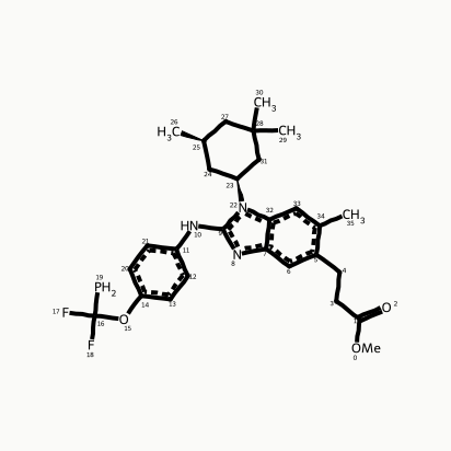 COC(=O)CCc1cc2nc(Nc3ccc(OC(F)(F)P)cc3)n([C@H]3C[C@@H](C)CC(C)(C)C3)c2cc1C